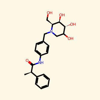 C[C@@H](C(=O)Nc1ccc(CN2CC(O)[C@@H](O)[C@H](O)[C@@H]2CO)cc1)c1ccccc1